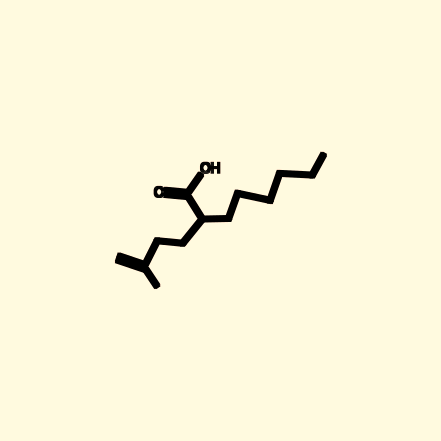 C=C(C)CCC(CCCCCC)C(=O)O